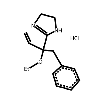 C=CC(Cc1ccccc1)(OCC)C1=NCCN1.Cl